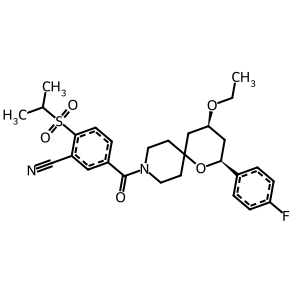 CCO[C@H]1C[C@@H](c2ccc(F)cc2)OC2(CCN(C(=O)c3ccc(S(=O)(=O)C(C)C)c(C#N)c3)CC2)C1